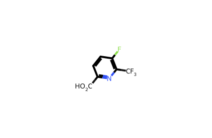 O=C(O)c1ccc(F)c(C(F)(F)F)n1